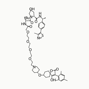 Cc1cc(C)c(C2=C(O)C3(CCC(OC4CCN(CCOCCOCCOCCOCC(=O)N[C@H](C(=O)N5C[C@H](O)C[C@H]5C(=O)N[C@@H](C)c5ccc(-c6scnc6C)cc5)C(C)(C)C)CC4)CC3)OC2=O)c(C)c1